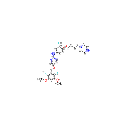 COc1cc(OC)c(F)c(COc2cnc(Nc3ccc(OCCCCN4CCNCC4)c(F)c3)nc2)c1F